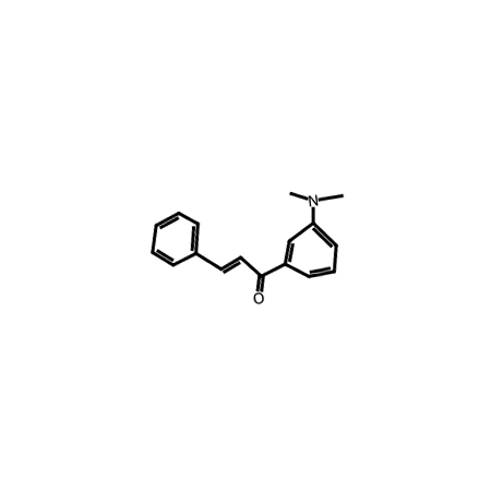 CN(C)c1cccc(C(=O)C=Cc2ccccc2)c1